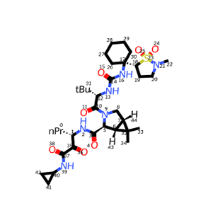 CCC[C@H](NC(=O)[C@@H]1[C@@H]2[C@H](CN1C(=O)[C@@H](NC(=O)NC1([C@H]3CCN(C)S3(=O)=O)CCCCC1)C(C)(C)C)C2(C)C)C(=O)C(=O)NC1CC1